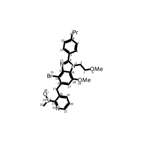 COCCn1c(-c2ccc(C(C)C)cc2)nc2c(Br)c(Cc3cccnc3[S+](C)[O-])cc(OC)c21